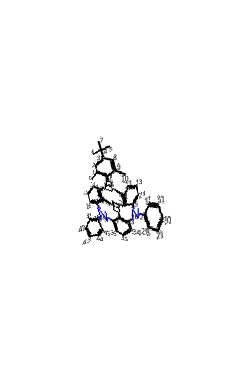 Cc1cc(C(C)(C)C)cc(C)c1B1c2cccc3c2B2c4c1cccc4N(c1ccccc1)c1cccc(c12)N3c1ccccc1